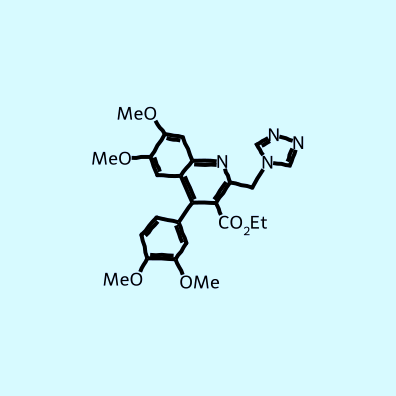 CCOC(=O)c1c(Cn2cnnc2)nc2cc(OC)c(OC)cc2c1-c1ccc(OC)c(OC)c1